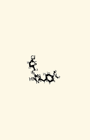 CN(C)c1ccc(Cc2n[nH]c(SCc3ccc(Cl)s3)n2)cc1